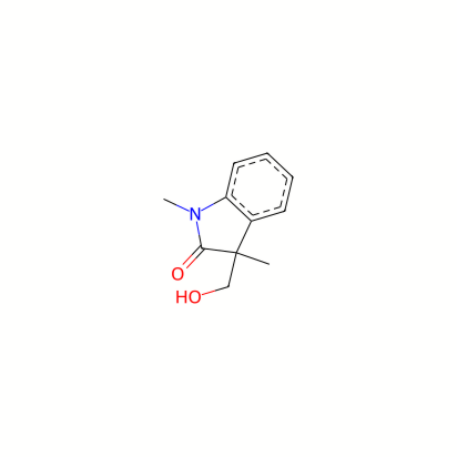 CN1C(=O)C(C)(CO)c2ccccc21